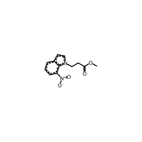 COC(=O)CCn1ccc2cccc([N+](=O)[O-])c21